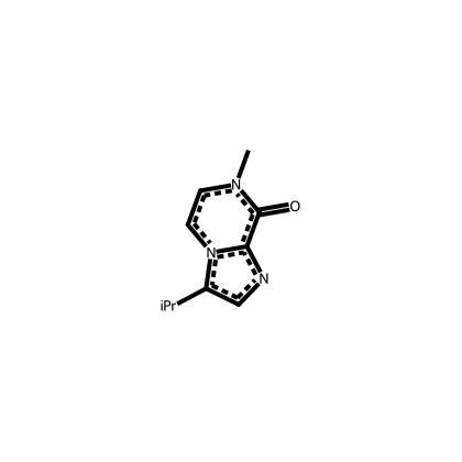 CC(C)c1cnc2c(=O)n(C)ccn12